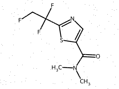 CN(C)C(=O)c1cnc(C(F)(F)CF)s1